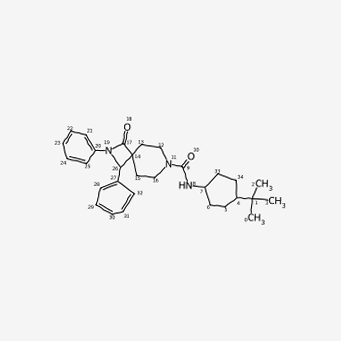 CC(C)(C)C1CCC(NC(=O)N2CCC3(CC2)C(=O)N(c2ccccc2)C3c2ccccc2)CC1